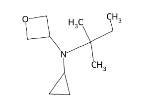 CCC(C)(C)N(C1CC1)C1COC1